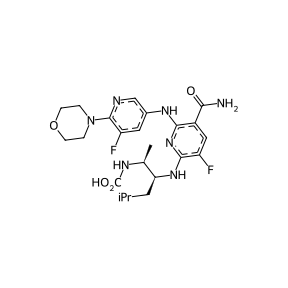 CC(C)C[C@H](Nc1nc(Nc2cnc(N3CCOCC3)c(F)c2)c(C(N)=O)cc1F)[C@H](C)NC(=O)O